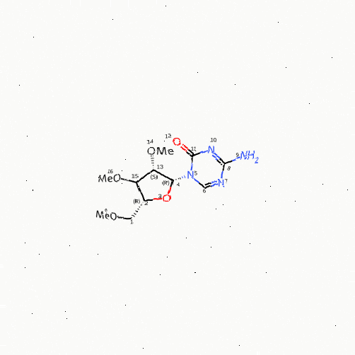 COC[C@H]1O[C@@H](n2cnc(N)nc2=O)[C@@H](OC)C1OC